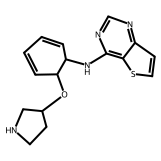 C1=CC(Nc2ncnc3ccsc23)C(OC2CCNC2)C=C1